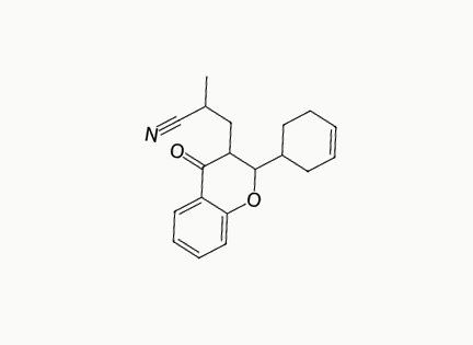 CC(C#N)CC1C(=O)c2ccccc2OC1C1CC=CCC1